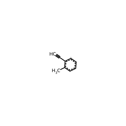 C#Cc1[c]cccc1C